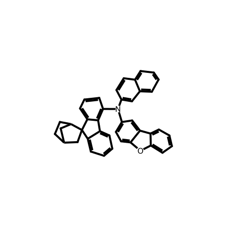 c1ccc2c(c1)-c1c(N(c3ccc4ccccc4c3)c3ccc4oc5ccccc5c4c3)cccc1C21CC2CCC1C2